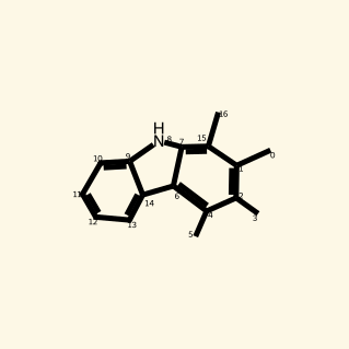 Cc1c(C)c(C)c2c([nH]c3ccccc32)c1C